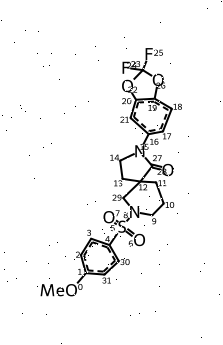 COc1ccc(S(=O)(=O)N2CCCC3(CCN(c4ccc5c(c4)OC(F)(F)O5)C3=O)C2)cc1